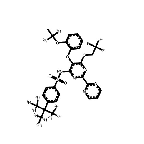 [2H]C([2H])(C)Oc1ccccc1Oc1c(NS(=O)(=O)c2ccc(C(C([2H])([2H])[2H])(C([2H])([2H])[2H])C([2H])([2H])O)cc2)nc(-c2ncccn2)nc1OCC(O)(F)F